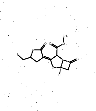 COC(=O)C1C(=C2CC(CI)OC2=O)O[C@@H]2CC(=O)N12